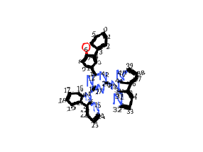 c1ccc2c(c1)oc1ccc(-c3nc(-n4c5ccccc5c5cccnc54)nc(-n4c5ncccc5c5cccnc54)n3)cc12